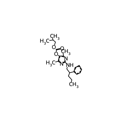 CCCC(CNc1nc(C)c(OC(=O)OCC(C)C)c(C)n1)c1ccccc1